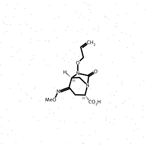 C=CCON1C(=O)N2C[C@H]1C(=NOC)C[C@H]2C(=O)O